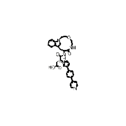 O=C(O)C[C@H](C(=O)N[C@H]1Cc2cn(c3ccccc23)CCOCCNC1=O)n1ccc(-c2ccc(-c3ccncc3)cc2)c1